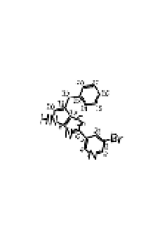 Brc1cncc(-c2nc3[nH]cc(Cc4ccccc4)c3s2)c1